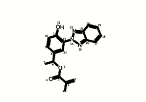 C=C(C)C(=O)OC(C)c1ccc(O)c(-n2nc3ccccc3n2)c1